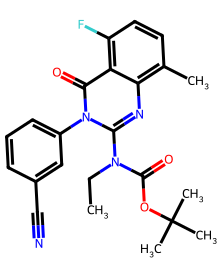 CCN(C(=O)OC(C)(C)C)c1nc2c(C)ccc(F)c2c(=O)n1-c1cccc(C#N)c1